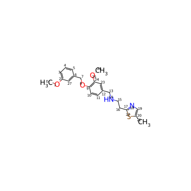 COc1cccc(COc2ccc(CNCCc3ncc(C)s3)cc2OC)c1